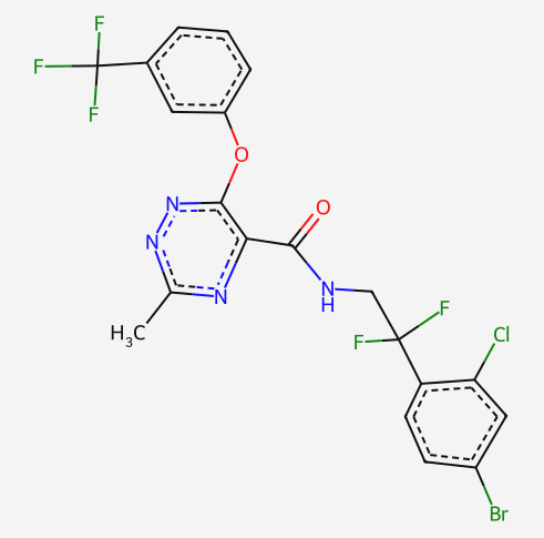 Cc1nnc(Oc2cccc(C(F)(F)F)c2)c(C(=O)NCC(F)(F)c2ccc(Br)cc2Cl)n1